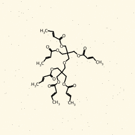 CC=CC(=O)OCC(COCC(COC(=O)C=CC)(COC(=O)C=CC)COC(=O)C=CC)(COC(=O)C=CC)COC(=O)C=CC